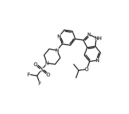 CC(C)Oc1cc2c(-c3ccnc(N4CCN(S(=O)(=O)C(F)F)CC4)c3)n[nH]c2cn1